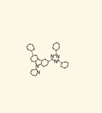 c1ccc(-c2ccc3c(c2)c2cc(-c4nc(-c5ccccc5)nc(-c5ccccc5)n4)ccc2n3-c2ccccn2)cc1